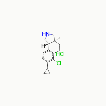 C[C@]12CCc3c(ccc(C4CC4)c3Cl)[C@@H]1CNC2.Cl